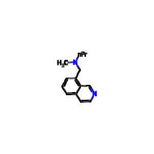 CCCN(C)Cc1cccc2ccncc12